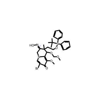 COCOC1c2c(OC)c(=O)c(Br)cn2C/C(=N\O)C1(C)CCO[Si](c1ccccc1)(c1ccccc1)C(C)(C)C